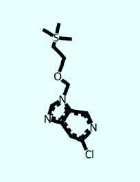 CS(C)(C)CCOCn1cnc2cc(Cl)ncc21